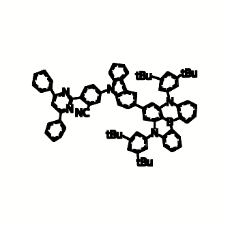 CC(C)(C)c1cc(N2c3ccccc3B3c4ccccc4N(c4cc(C(C)(C)C)cc(C(C)(C)C)c4)c4cc(-c5ccc6c(c5)c5ccccc5n6-c5ccc(-c6nc(-c7ccccc7)cc(-c7ccccc7)n6)c(C#N)c5)cc2c43)cc(C(C)(C)C)c1